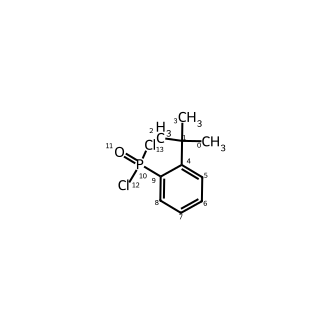 CC(C)(C)c1ccccc1P(=O)(Cl)Cl